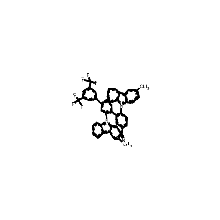 Cc1ccc2c(c1)c1ccccc1n2-c1ccc(C#N)cc1-c1ccc(-c2cc(C(F)(F)F)cc(C(F)(F)F)c2)cc1-n1c2ccccc2c2cc(C)ccc21